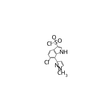 Cn1ccc(-c2c(Cl)ccc3c(S(=O)(=O)Cl)c[nH]c23)n1